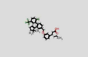 CCC[C@@H](CC(=O)O)c1cccc(OCc2ccc(-c3cc(C(F)(F)F)ccc3F)c(C3=CCCC3(C)C)c2)c1